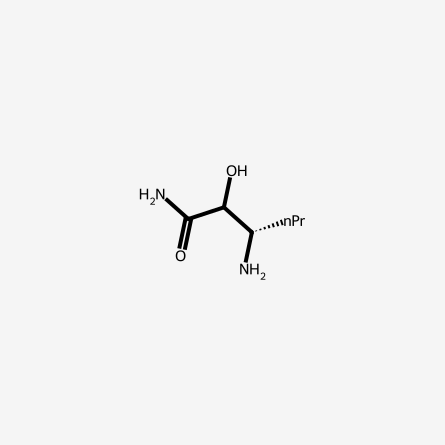 CCC[C@H](N)C(O)C(N)=O